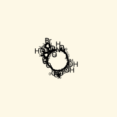 CO[C@H]1/C=C/O[C@@]2(C)Oc3c(C)c(O)c4c(=O)c(c5oc6cc(Br)cc(SC)c6nc-5c4c3C2=O)NC(=O)/C(C)=C\C=C\[C@H](C)[C@H](O)[C@@H](C)[C@@H](O)[C@@H](C)[C@H](OC(C)=O)[C@@H]1C